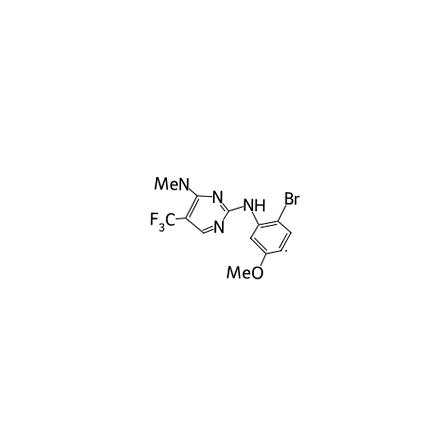 CNc1nc(Nc2cc(OC)[c]cc2Br)ncc1C(F)(F)F